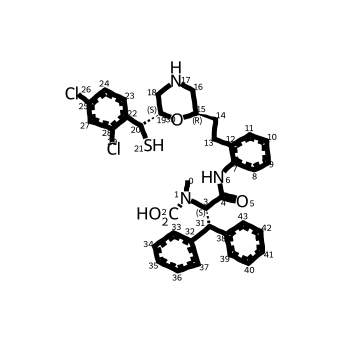 CN(C(=O)O)[C@H](C(=O)Nc1ccccc1CC[C@@H]1CNC[C@@H](C(S)c2ccc(Cl)cc2Cl)O1)C(c1ccccc1)c1ccccc1